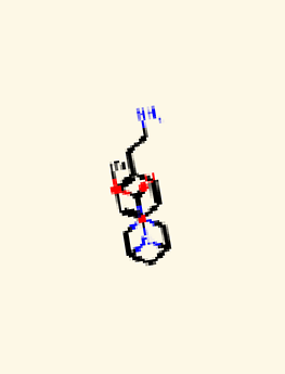 CC(C)(C)OC(=O)N1CC2CC(C1)N2c1ccc(CCN)cc1